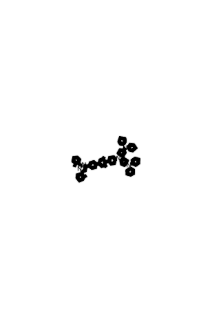 Cc1ccccc1-c1cc(-c2ccc(-c3cc(C)c(-c4ccc(-n5c6ccc(N(c7ccccc7)c7ccccc7)cc6c6cc(N(c7ccccc7)c7ccccc7)ccc65)cc4)c(C)c3)cc2)nc(-c2ccccc2C)n1